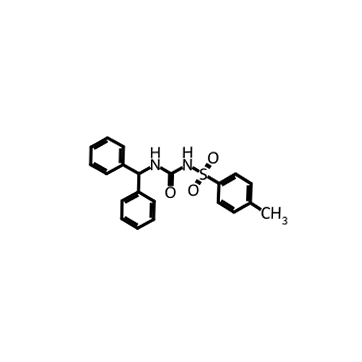 Cc1ccc(S(=O)(=O)NC(=O)NC(c2ccccc2)c2ccccc2)cc1